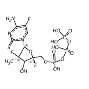 C[C@@]1(F)C(O)[C@@](F)(COP(=O)(O)OP(=O)(O)OP(=O)(O)O)O[C@H]1n1cc(F)c(N)nc1=S